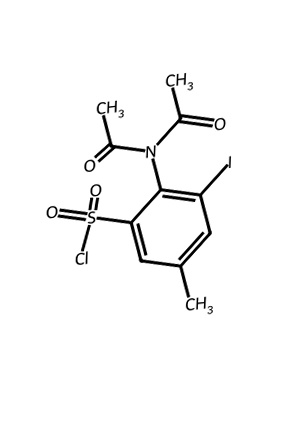 CC(=O)N(C(C)=O)c1c(I)cc(C)cc1S(=O)(=O)Cl